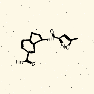 Cc1cc(C(=O)NC2CCc3ccc(C(=O)O)cc32)no1